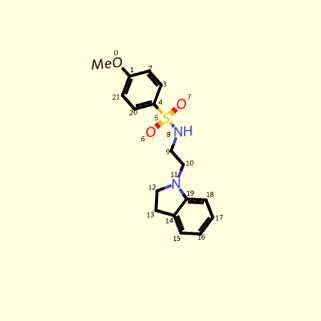 COc1ccc(S(=O)(=O)NCCN2CCc3ccccc32)cc1